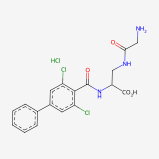 Cl.NCC(=O)NCC(NC(=O)c1c(Cl)cc(-c2ccccc2)cc1Cl)C(=O)O